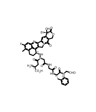 CC[C@@]1(O)C(=O)OCc2c1cc1n(c2=O)Cc2c-1nc1cc(F)c(C)c3c1c2[C@@H](NN(CC(=O)NCC(=O)N[C@@H](Cc1ccccc1)C(=O)NCC=O)C(=O)C[C@H](N)C(=O)O)CC3